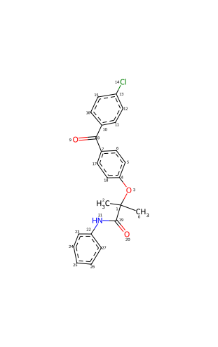 CC(C)(Oc1ccc(C(=O)c2ccc(Cl)cc2)cc1)C(=O)Nc1ccccc1